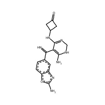 N=C(C1=C(N)NCN=C1NC1CC(=O)C1)c1ccc2oc(N)nc2c1